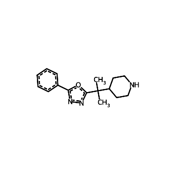 CC(C)(c1nnc(-c2ccccc2)o1)C1CCNCC1